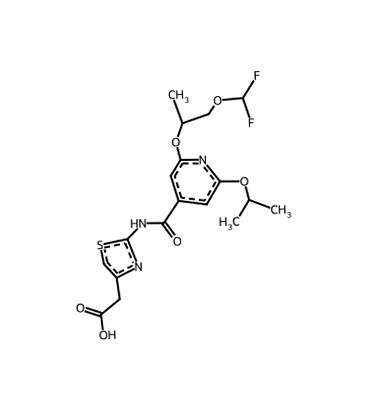 CC(C)Oc1cc(C(=O)Nc2nc(CC(=O)O)cs2)cc(OC(C)COC(F)F)n1